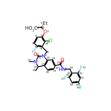 CC[C@H](Oc1ccc(F)c(CN2C(=O)N(C)C(C)c3ccc(C(=O)NCc4c(F)cc(F)cc4F)cc32)c1Cl)C(=O)O